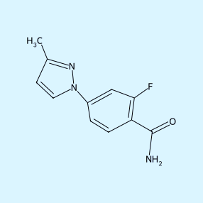 Cc1ccn(-c2ccc(C(N)=O)c(F)c2)n1